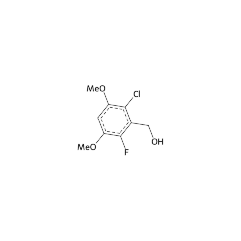 COc1cc(OC)c(Cl)c(CO)c1F